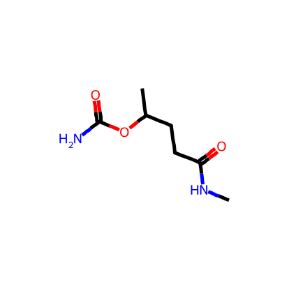 CNC(=O)CCC(C)OC(N)=O